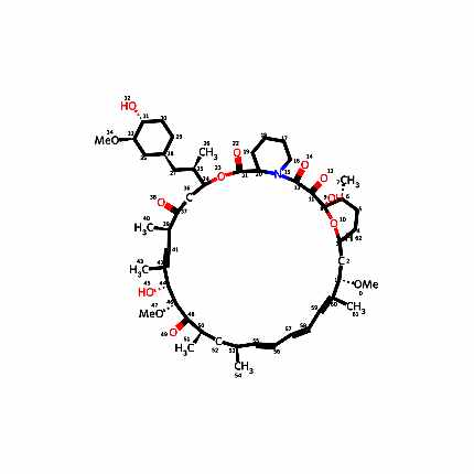 CO[C@H]1C[C@@H]2CC[C@@H](C)[C@@](O)(O2)C(=O)C(=O)N2CCCCC2C(=O)OC([C@H](C)C[C@@H]2CC[C@@H](O)[C@H](OC)C2)CC(=O)[C@H](C)/C=C(\C)[C@@H](O)[C@@H](OC)C(=O)[C@H](C)C[C@H](C)/C=C/C=C/C=C/1C